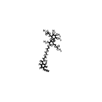 CC(=O)OCC1O[C@@H](OCCOCCOCCNC(=O)c2c(F)c(F)c(N=[N+]=[N-])c(F)c2F)C(C)[C@@H](C)[C@@H]1O[C@@H]1OC(COC(C)=O)[C@H](C)[C@H](C)C1C